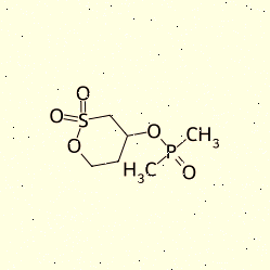 CP(C)(=O)OC1CCOS(=O)(=O)C1